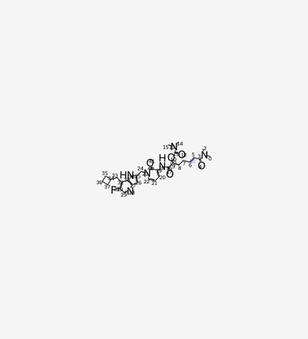 CN(C)C(=O)/C=C/CC[C@H](OC(=O)N(C)C)C(=O)Nc1cccn(Cc2cc3ncc(F)c(CC4CCC4)c3[nH]2)c1=O